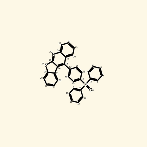 O=P(c1ccccc1)(c1ccccc1)c1ccc(-c2c3ccccc3nc3sc4ccccc4c23)cc1